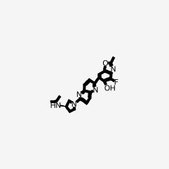 Cc1nc2c(F)c(O)c(-c3ccc4nc(N5CC[C@@H](NC(C)C)C5)ccc4n3)cc2o1